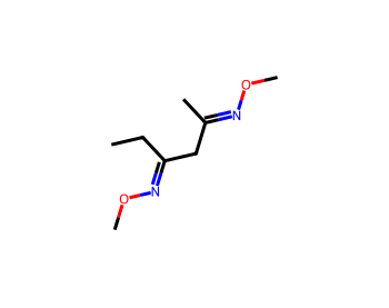 CC/C(C/C(C)=N/OC)=N\OC